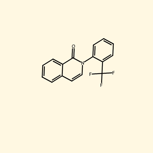 O=c1c2ccccc2ccn1-c1ccccc1C(F)(F)F